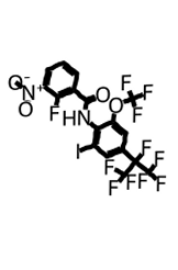 O=C(Nc1c(I)cc(C(F)(C(F)(F)F)C(F)(F)F)cc1OC(F)(F)F)c1cccc([N+](=O)[O-])c1F